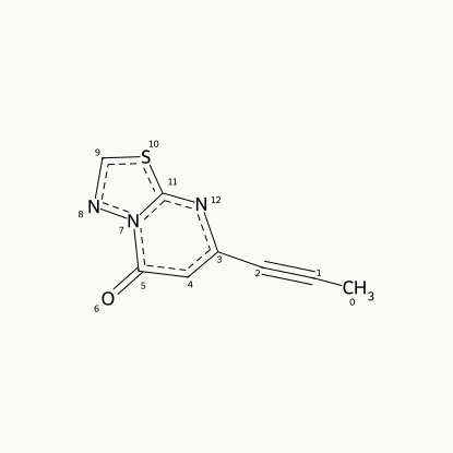 CC#Cc1cc(=O)n2ncsc2n1